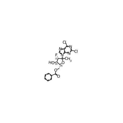 C[C@@]1(n2cnc3c(Cl)nc(Cl)nc32)O[C@H](COC(=O)c2ccccc2)[C@@H](O)[C@@H]1F